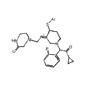 CC(=O)SC1CCN(C(C(=O)C2CC2)c2ccccc2F)C/C1=C\CN1CCNC(=O)C1